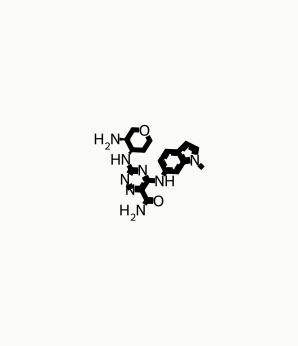 Cn1ccc2ccc(Nc3nc(N[C@@H]4CCOC[C@@H]4N)nnc3C(N)=O)cc21